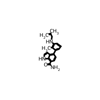 C=C(C)CNc1cccc(-c2ccc(C(N)=O)c3[nH]ccc23)c1C